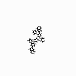 c1ccc(N(c2ccc(-c3nc4ccccc4n3-c3ccccc3)cc2)c2ccc(-n3c4ccccc4c4cc(-c5ccc6ccccc6c5)ccc43)cc2)cc1